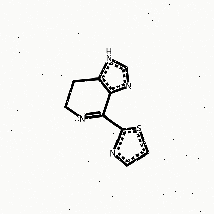 c1csc(C2=NCCc3[nH]cnc32)n1